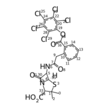 CC1(C)S[C@@H]2C(NC(=O)Cc3ccccc3C(=O)Oc3c(Cl)c(Cl)c(Cl)c(Cl)c3Cl)C(=O)N2C1C(=O)O